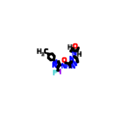 C=C1CCC(n2cc(NC(=O)c3cnn4ccc(N5C[C@H]6C[C@@H]5CO6)nc34)c(C(F)I)n2)CC1